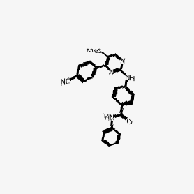 CSc1cnc(Nc2ccc(C(=O)Nc3ccccc3)cc2)nc1-c1ccc(C#N)cc1